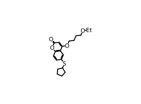 CCOCCCCOc1cc(=O)oc2ccc(SC3CCCC3)cc12